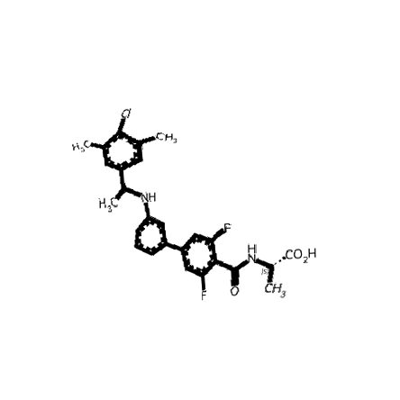 Cc1cc(C(C)Nc2cccc(-c3cc(F)c(C(=O)N[C@@H](C)C(=O)O)c(F)c3)c2)cc(C)c1Cl